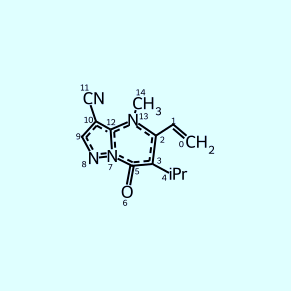 C=Cc1c(C(C)C)c(=O)n2ncc(C#N)c2n1C